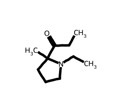 CCC(=O)C1(C)CCCN1CC